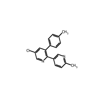 Cc1ccc(-c2cc(Cl)cnc2-c2ccc(C)nc2)cc1